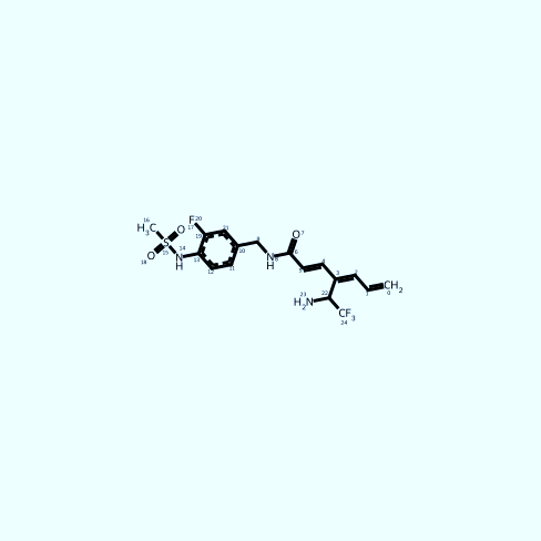 C=C/C=C(/C=C/C(=O)NCc1ccc(NS(C)(=O)=O)c(F)c1)C(N)C(F)(F)F